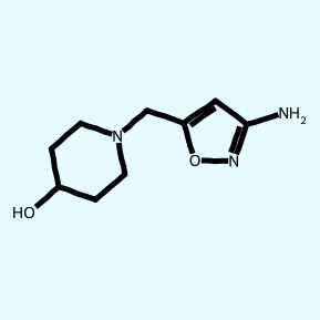 Nc1cc(CN2CCC(O)CC2)on1